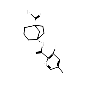 NC(=O)[C@@]12CCC[C@@](NC(=O)c3ncc(F)cc3F)(CC1)C2